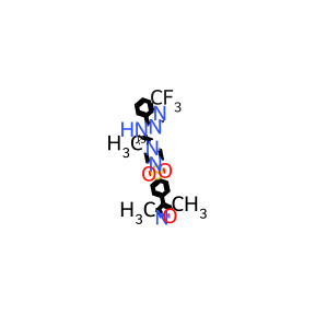 Cc1noc(C)c1-c1ccc(S(=O)(=O)N2CCN(C[C@H](C)Nc3ncnc4c(C(F)(F)F)cccc34)CC2)cc1